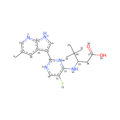 Cc1cnc2[nH]cc(-c3ncc(F)c(NC(CC(=O)O)C(C)(C)C)n3)c2c1